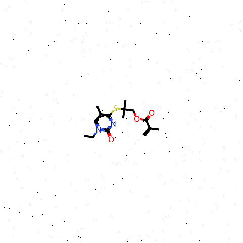 C=C(C)C(=O)OCC(C)(C)Sc1nc(=O)n(CC)cc1C